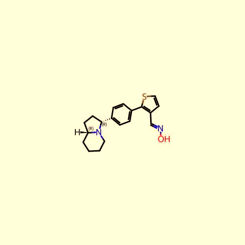 ON=Cc1ccsc1-c1ccc([C@H]2CC[C@H]3CCCCN32)cc1